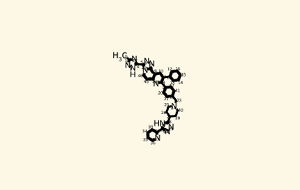 Cc1n[nH]c(-c2nnc3c4cc(-c5ccccc5)c(-c5ccc(CN6CCC(c7nnc(-c8ccccn8)[nH]7)CC6)cc5)nc4ccn23)n1